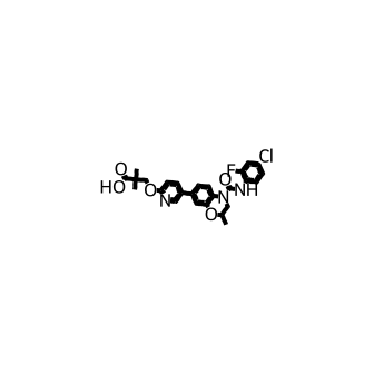 CC1CN(C(=O)Nc2ccc(Cl)cc2F)c2ccc(-c3ccc(OCC(C)(C)C(=O)O)nc3)cc2O1